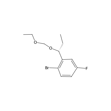 CCOCO[C@H](CC)c1cc(F)ccc1Br